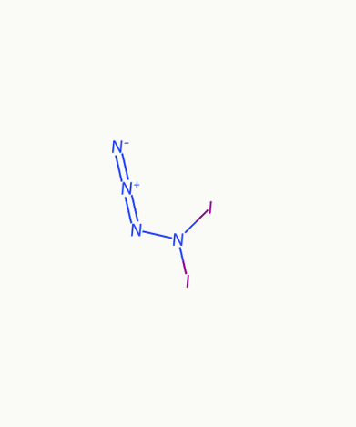 [N-]=[N+]=NN(I)I